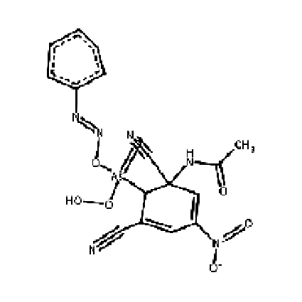 CC(=O)NC1(C#N)C=C([N+](=O)[O-])C=C(C#N)C1[As](=O)(OO)ON=Nc1ccccc1